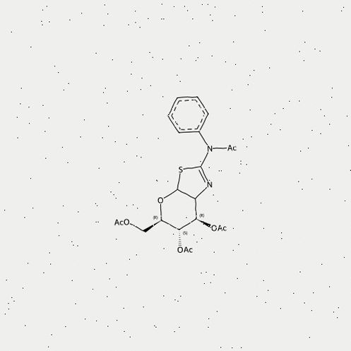 CC(=O)OC[C@H]1OC2SC(N(C(C)=O)c3ccccc3)=NC2[C@@H](OC(C)=O)[C@@H]1OC(C)=O